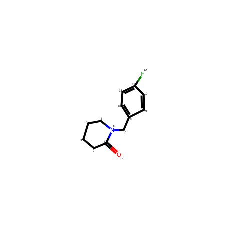 O=C1CCCCN1Cc1ccc(F)cc1